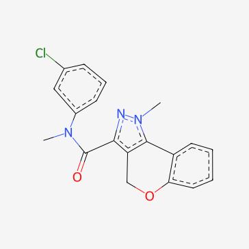 CN(C(=O)c1nn(C)c2c1COc1ccccc1-2)c1cccc(Cl)c1